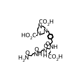 NC(=O)CCNC(=O)CCNC(=O)[C@@H](CCC(=O)O)NC(=O)Cc1ccc(CN2CCN(CC(=O)O)CCN(CC(=O)O)CC2)cc1